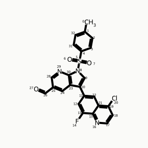 Cc1ccc(S(=O)(=O)n2cc(-c3cc(F)c4nccc(Cl)c4c3)c3cc(C=O)cnc32)cc1